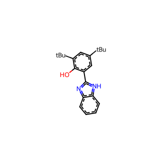 CC(C)(C)c1cc(-c2nc3ccccc3[nH]2)c(O)c(C(C)(C)C)c1